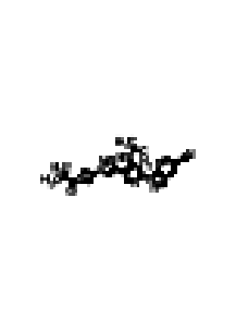 CC(C)Nc1cc(-n2ncc3cc(C#N)cnc32)ncc1-c1cn(C2CN(C(=O)C(C)C)C2)nn1